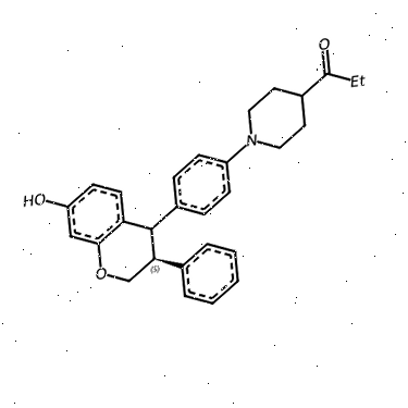 CCC(=O)C1CCN(c2ccc(C3c4ccc(O)cc4OC[C@@H]3c3ccccc3)cc2)CC1